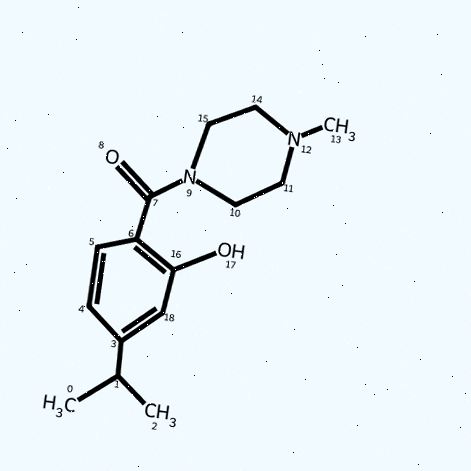 CC(C)c1ccc(C(=O)N2CCN(C)CC2)c(O)c1